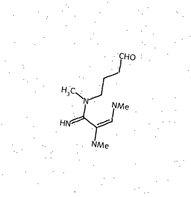 CN/C=C(/NC)C(=N)N(C)CCCC=O